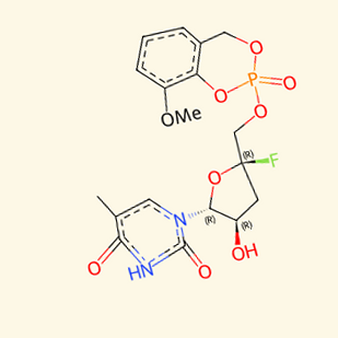 COc1cccc2c1OP(=O)(OC[C@]1(F)C[C@@H](O)[C@H](n3cc(C)c(=O)[nH]c3=O)O1)OC2